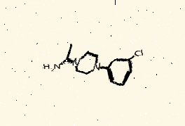 CC(N)N1CCN(c2cccc(Cl)c2)CC1